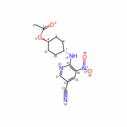 CC(=O)O[C@H]1CC[C@H](Nc2ncc(C#N)cc2[N+](=O)[O-])CC1